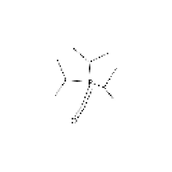 CC(C)P(=C=O)(C(C)C)C(C)C